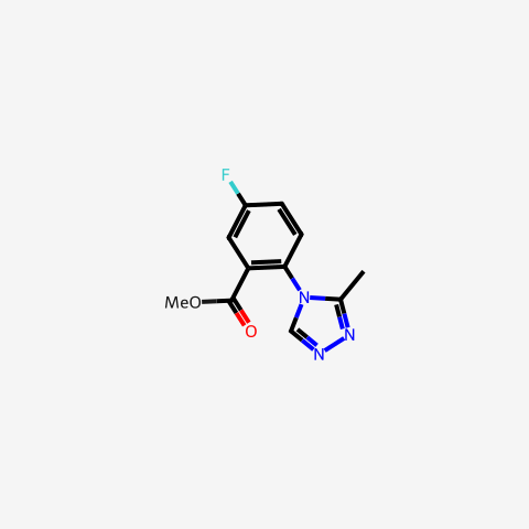 COC(=O)c1cc(F)ccc1-n1cnnc1C